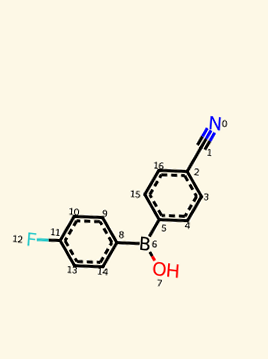 N#Cc1ccc(B(O)c2ccc(F)cc2)cc1